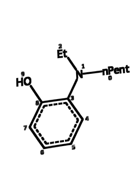 CCCCCN(CC)c1ccccc1O